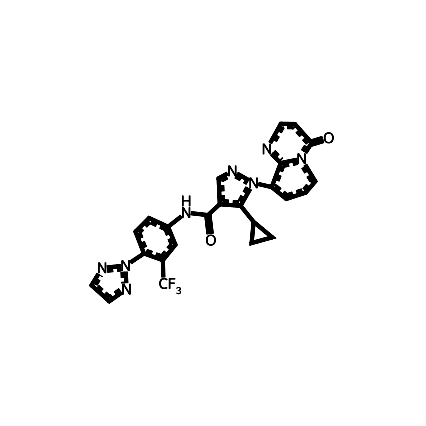 O=C(Nc1ccc(-n2nccn2)c(C(F)(F)F)c1)c1cnn(-c2cccn3c(=O)ccnc23)c1C1CC1